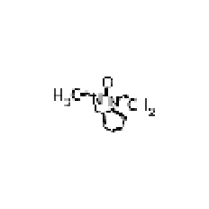 C=CN1Cc2ccccc2N(C=C)C1=O